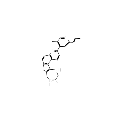 C/C=C/c1cc(-c2ccc3c(ccc4sc5c(c43)NC[C@@H](C)NC5)n2)c(C)cn1